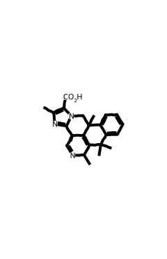 Cc1nc2n(c1C(=O)O)CC1(C)C3=C(C(C)N=CC32C)C(C)(C)c2ccccc21